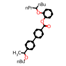 CCCCOC(C)c1ccc(-c2ccc(C(=O)Oc3ccccc3OC(CCC)CCCC)cc2)cc1